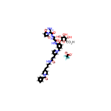 NC[C@@H](C(=O)NCCC(=O)Nc1cc(C[n+]2cccc(/C=C/C(=O)NCCCCC3CCN(C(=O)c4ccccc4)CC3)c2)ccc1O[C@@H]1O[C@H](C(=O)O)[C@@H](O)[C@H](O)[C@H]1O)N1C(=O)C=CC1=O.O=C([O-])C(F)(F)F